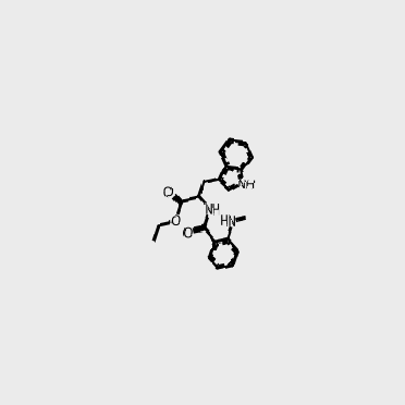 CCOC(=O)C(Cc1c[nH]c2ccccc12)NC(=O)c1ccccc1NC